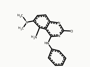 CN(C)c1ccc2nc(Cl)nc(Nc3ccccc3)c2c1N